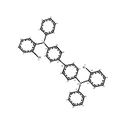 CC(C)c1ccccc1N(c1ccccc1)c1ccc(-c2ccc(N(c3ccccc3)c3ccccc3C(C)C)cc2)cc1